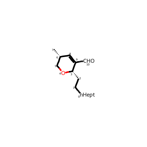 CCCCCCCCC[C@@H]1OC[C@H](C)C=C1C=O